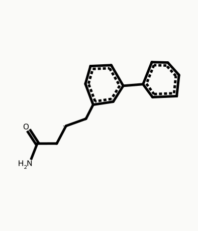 NC(=O)C[CH]Cc1cccc(-c2ccccc2)c1